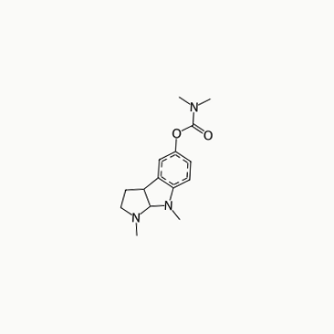 CN(C)C(=O)Oc1ccc2c(c1)C1CCN(C)C1N2C